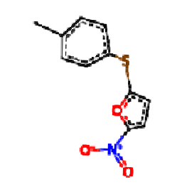 Cc1ccc(Sc2ccc([N+](=O)[O-])o2)cc1